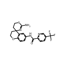 NC1=NC2(CCOc3ccc(NC(=O)c4ccc(C(F)(F)F)cn4)cc32)CCS1